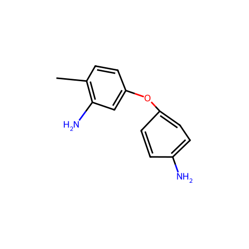 Cc1ccc(Oc2ccc(N)cc2)cc1N